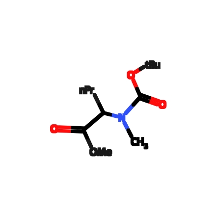 CCCC(C(=O)OC)N(C)C(=O)OC(C)(C)C